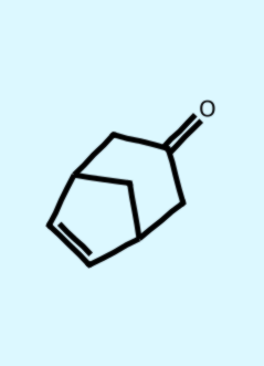 O=C1CC2C=CC(C1)C2